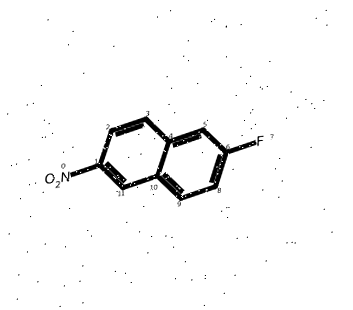 O=[N+]([O-])c1ccc2cc(F)ccc2c1